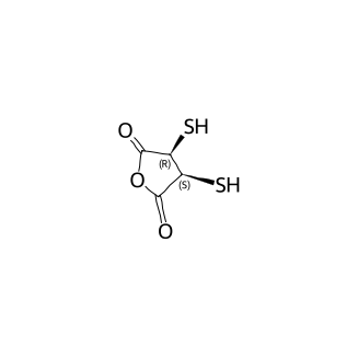 O=C1OC(=O)[C@H](S)[C@@H]1S